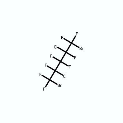 FC(F)(Br)C(F)(Cl)C(F)(F)C(F)(Cl)C(F)(F)Br